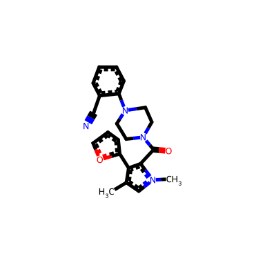 Cc1cn(C)c(C(=O)N2CCN(c3ccccc3C#N)CC2)c1-c1ccco1